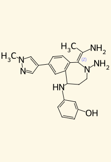 C/C(N)=C1\c2ccc(-c3cnn(C)c3)cc2C(Nc2cccc(O)c2)CCN1N